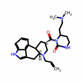 C=CCN1C[C@H](C(=O)N2C(=O)NCCC2CCN(C)C)CC2c3cccc4[nH]cc(c34)C[C@H]21